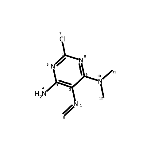 C=Nc1c(N)nc(Cl)nc1N(C)C